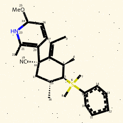 C/C=C1\[C@@H](C)[C@@H](S(C)(C)c2ccccc2)[C@H](C)C[C@@]1(C#N)C1=C(C)NC(OC)C=C1